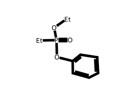 CCOP(=O)(CC)Oc1ccccc1